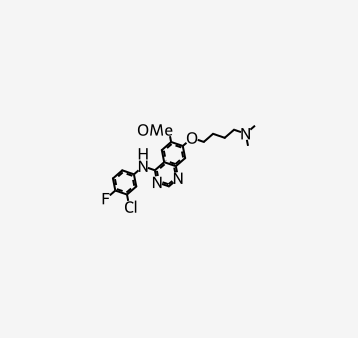 COc1cc2c(Nc3ccc(F)c(Cl)c3)ncnc2cc1OCCCCN(C)C